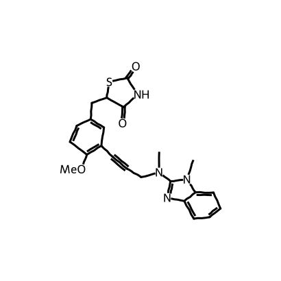 COc1ccc(CC2SC(=O)NC2=O)cc1C#CCN(C)c1nc2ccccc2n1C